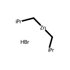 Br.CC(C)[CH2][Zn][CH2]C(C)C